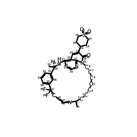 CC1CCCOCCCn2c(=O)c(C3CCS(=O)(=O)CC3)cc3c(ncnc32)N[C@H](C)c2cccc(c2)C(F)(F)CC2CN1C2